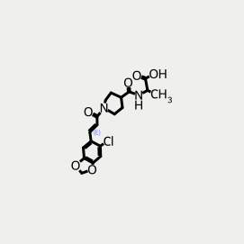 CC(NC(=O)C1CCN(C(=O)/C=C/c2cc3c(cc2Cl)OCO3)CC1)C(=O)O